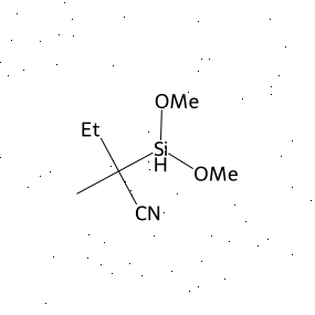 CCC(C)(C#N)[SiH](OC)OC